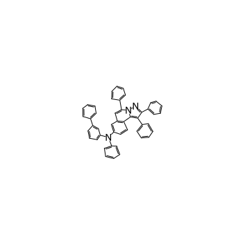 c1ccc(-c2cccc(N(c3ccccc3)c3ccc4c(c3)cc(-c3ccccc3)n3nc(-c5ccccc5)c(-c5ccccc5)c43)c2)cc1